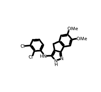 COc1cc2c(cc1OC)-c1n[nH]c(Nc3cccc(Cl)c3Cl)c1C2